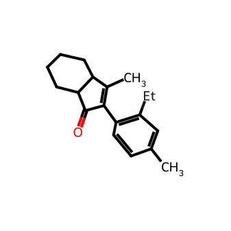 CCc1cc(C)ccc1C1=C(C)C2CCCCC2C1=O